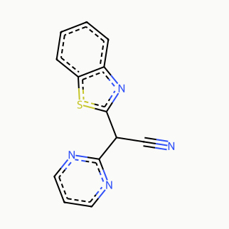 N#CC(c1ncccn1)c1nc2ccccc2s1